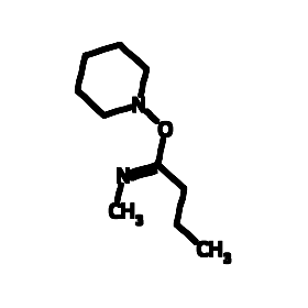 CCCC(=NC)ON1CCCCC1